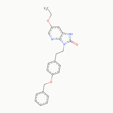 O=c1[nH]c2cc(OCC(F)(F)F)cnc2n1CCc1ccc(OCc2ccccc2)cc1